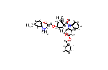 Cc1ccc2c(c1)N(C)C[C@@H](COc1ccc(C(=O)n3c(C)c(CC(=O)OCc4ccccc4)c4ccccc43)c(C)c1)O2